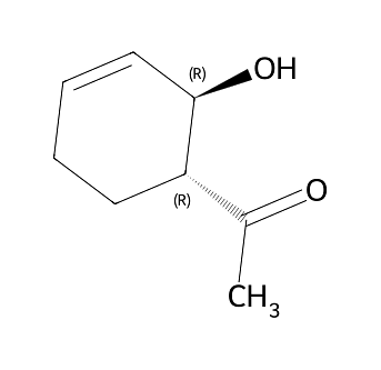 CC(=O)[C@@H]1CCC=C[C@H]1O